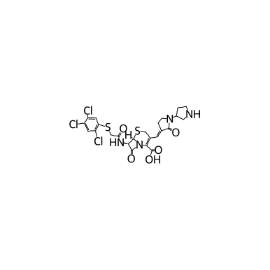 O=C(CSc1cc(Cl)c(Cl)cc1Cl)N[C@@H]1C(=O)N2C(C(=O)O)=C(/C=C3\CCN(C4CCNC4)C3=O)CS[C@H]12